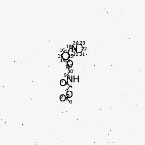 CC(=O)OCCC(=O)NCCCOc1cccc(CN2CCCCC2)c1